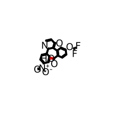 O=C(O)c1ccc(OC(F)F)c2oc3ccnc(-c4ccc([N+](=O)[O-])cc4)c3c12